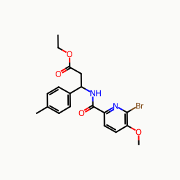 CCOC(=O)CC(NC(=O)c1ccc(OC)c(Br)n1)c1ccc(C)cc1